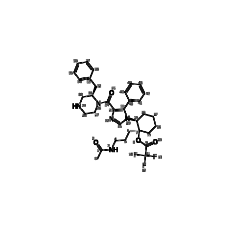 CC(=O)NCCC[C@@]1(OC(=O)C(F)(F)F)CCCC[C@@H]1n1cnc(C(=O)N2CCNC[C@H]2Cc2ccccc2)c1-c1ccccc1